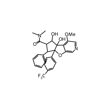 COc1cncc2c1C1(O)C(O)C(C(=O)N(C)C)C(c3ccccc3)C1(c1ccc(C(F)(F)F)cc1)O2